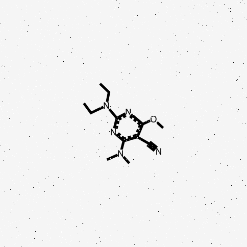 CCN(CC)c1nc(OC)c(C#N)c(N(C)C)n1